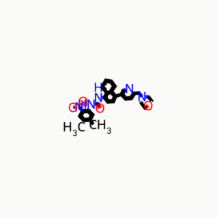 Cc1cc(NC(=O)Nc2ccc(-c3ccc(CN4CCOCC4)nc3)c3ccccc23)c([N+](=O)[O-])cc1C